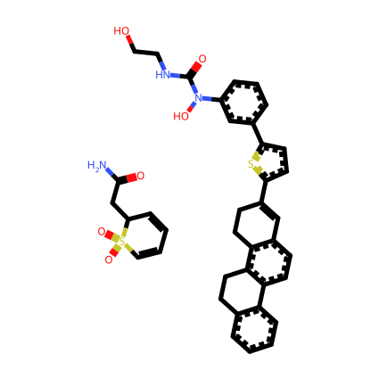 NC(=O)CC1C=CC=CS1(=O)=O.O=C(NCCO)N(O)c1cccc(-c2ccc(C3=Cc4ccc5c(c4CC3)CCc3ccccc3-5)s2)c1